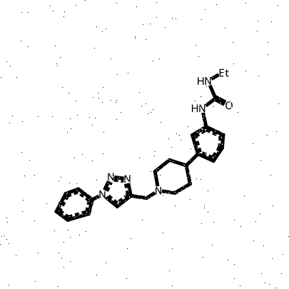 CCNC(=O)Nc1cccc(C2CCN(Cc3cn(-c4ccccc4)nn3)CC2)c1